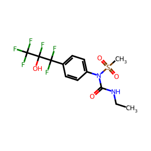 CCNC(=O)N(c1ccc(C(F)(F)C(O)(F)C(F)(F)F)cc1)S(C)(=O)=O